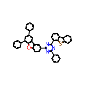 c1ccc(-c2cc(-c3ccccc3)c3oc4ccc(-c5nc(-c6ccccc6)nc(-c6cccc7c6sc6ccccc67)n5)cc4c3c2)cc1